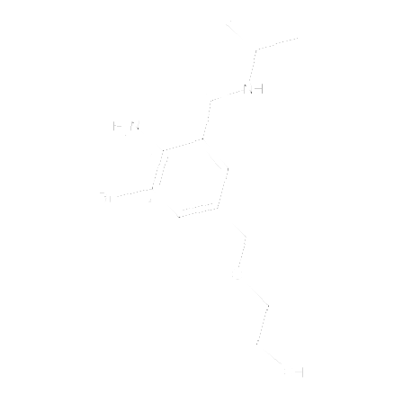 CC(C)NCc1cc(COCCO)cc(Br)c1N